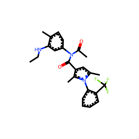 CCNc1cc(N(C(C)=O)C(=O)c2cc(C)n(-c3ccccc3C(F)(F)F)c2C)ccc1C